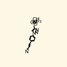 CS(=O)(=O)OCc1cn(-c2ccc(C#CC#N)cc2)nn1